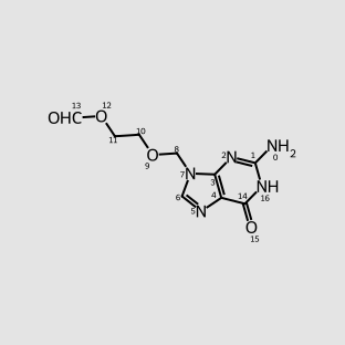 Nc1nc2c(ncn2COCCOC=O)c(=O)[nH]1